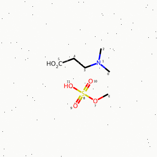 CN(C)CCC(=O)O.COS(=O)(=O)O